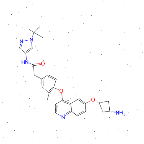 Cc1cc(CC(=O)Nc2cnn(C(C)(C)C)c2)ccc1Oc1ccnc2ccc(O[C@H]3C[C@@H](N)C3)cc12